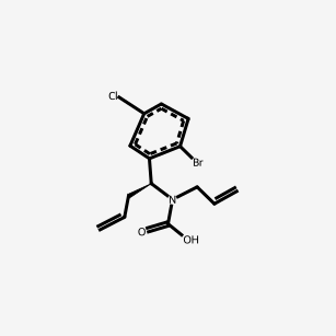 C=CC[C@@H](c1cc(Cl)ccc1Br)N(CC=C)C(=O)O